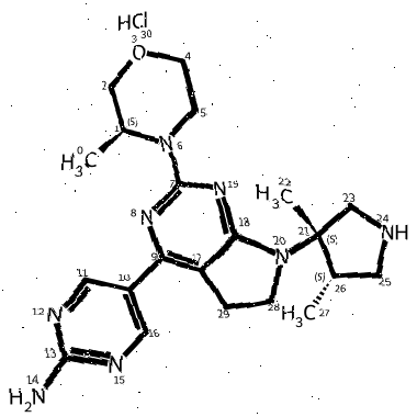 C[C@H]1COCCN1c1nc(-c2cnc(N)nc2)c2c(n1)N([C@]1(C)CNC[C@@H]1C)CC2.Cl